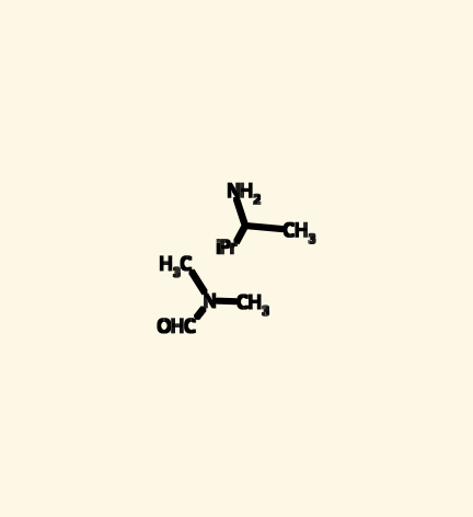 CC(C)C(C)N.CN(C)C=O